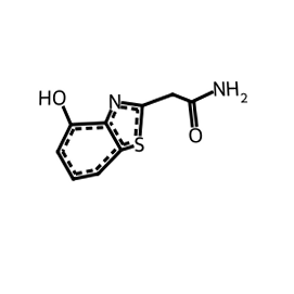 NC(=O)Cc1nc2c(O)cccc2s1